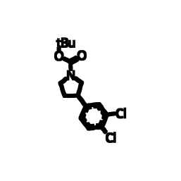 CC(C)(C)OC(=O)N1CCC(c2ccc(Cl)c(Cl)c2)C1